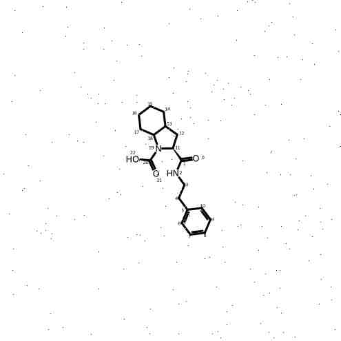 O=C(NCCc1ccccc1)[C@@H]1CC2CCCCC2N1C(=O)O